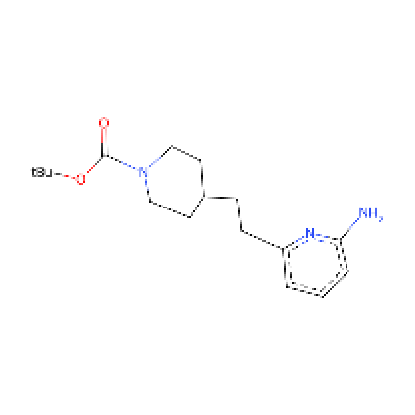 CC(C)(C)OC(=O)N1CCC(CCc2cccc(N)n2)CC1